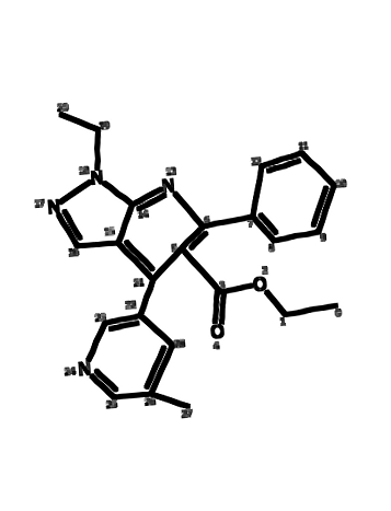 CCOC(=O)c1c(-c2ccccc2)nc2c(cnn2CC)c1-c1cncc(C)c1